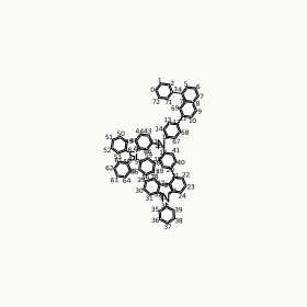 c1ccc(-c2cccc3ccc(-c4ccc(N(c5ccc(-c6cccc7c6c6ccccc6n7-c6ccccc6)cc5)c5cccc([Si](c6ccccc6)(c6ccccc6)c6ccccc6)c5)cc4)cc23)cc1